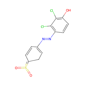 O=S(=O)=C1C=CC(N=Nc2ccc(O)c(Cl)c2Cl)=CC1